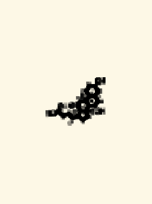 C[C@H](CCC(=O)O)C1CC[C@H]2C3[C@H](O)CC4C[C@H](O)CC[C@]4(C)[C@H]3C[C@H](O)[C@]12C